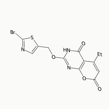 CCc1cc(=O)oc2nc(OCc3cnc(Br)s3)[nH]c(=O)c12